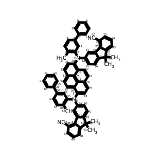 Cc1ccc(-c2ccccc2)cc1N(c1ccc2c(c1)-c1c(C#N)cccc1C2(C)C)c1ccc2ccc3c(N(c4ccc5c(c4)-c4c(C#N)cccc4C5(C)C)c4cc(-c5ccccc5)ccc4C)ccc4ccc1c2c43